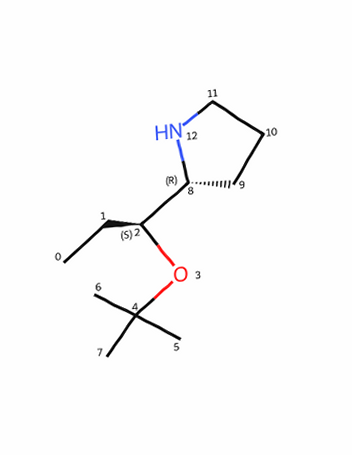 CC[C@H](OC(C)(C)C)[C@H]1CCCN1